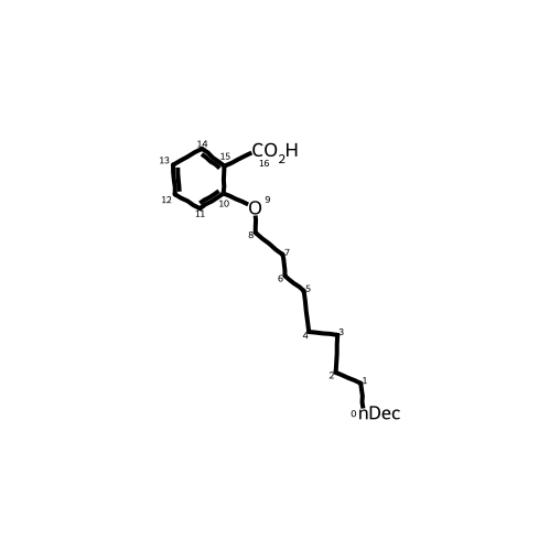 CCCCCCCCCCCCCCCCCCOc1ccccc1C(=O)O